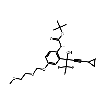 COCCOCOc1ccc(NC(=O)OC(C)(C)C)c(C(O)(C#CC2CC2)C(F)(F)F)c1